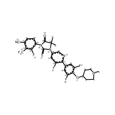 CN1CCC(Oc2c(F)cc(-c3ncc(N4C(=S)N(c5ccc(C#N)c(C(F)(F)F)c5F)C(=O)C4(C)C)cc3F)cc2F)CC1